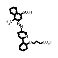 Nc1c(N=Nc2ccc(-c3ccccc3OCCCC(=O)O)nc2)cc(S(=O)(=O)O)c2ccccc12